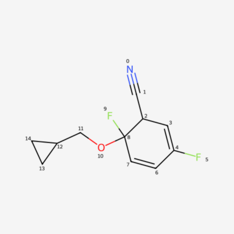 N#CC1C=C(F)C=CC1(F)OCC1CC1